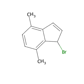 Cc1ccc(C)c2c1C=CC2Br